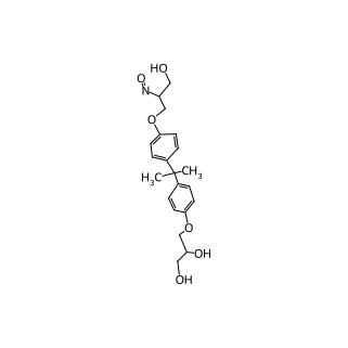 CC(C)(c1ccc(OCC(O)CO)cc1)c1ccc(OCC(CO)N=O)cc1